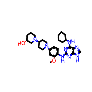 COc1cc(N2CCC(N3CCC[C@@H](O)C3)CC2)ccc1Nc1nc(NC2CCCCC2)c2nc[nH]c2n1